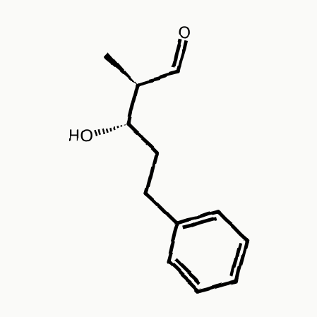 C[C@@H](C=O)[C@@H](O)CCc1ccccc1